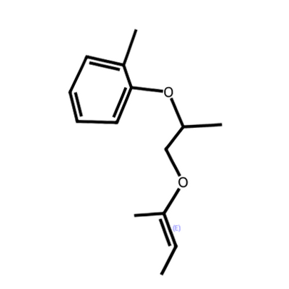 C/C=C(\C)OCC(C)Oc1ccccc1C